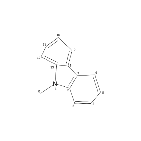 Cn1c2c#cccc2c2ccccc21